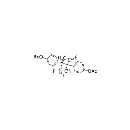 CC(=O)Oc1ccc(C(C)(C)C(C)(C)c2ccc(OC(C)=O)cc2F)c(F)c1